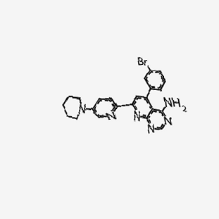 Nc1ncnc2nc(-c3ccc(N4CCCCC4)cn3)cc(-c3cccc(Br)c3)c12